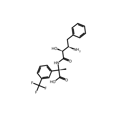 C[C@@](NC(=O)[C@@H](O)[C@H](N)Cc1ccccc1)(C(=O)O)c1cccc(C(F)(F)F)c1